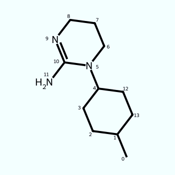 CC1CCC(N2CCCN=C2N)CC1